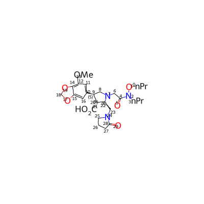 CCCON(CCC)C(=O)CN1C[C@H](c2cc(OC)c3c(c2)OCO3)[C@@H](C(=O)O)[C@@H]1CN1CCCC1=O